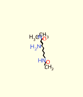 C=CC(=O)NCCCCCC(N)C=CC(=O)N(C)C